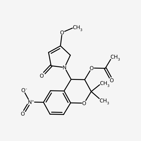 COC1=CC(=O)N(C2c3cc([N+](=O)[O-])ccc3OC(C)(C)C2OC(C)=O)C1